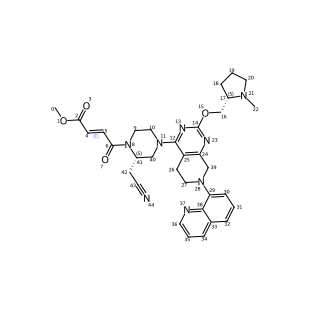 COC(=O)/C=C/C(=O)N1CCN(c2nc(OC[C@@H]3CCCN3C)nc3c2CCN(c2cccc4cccnc24)C3)C[C@@H]1CC#N